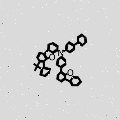 CC1(C)c2ccccc2-c2c1ccc1c2oc2c(N(c3ccc(-c4ccccc4)cc3)c3ccc(-c4cccc5c4oc4ccccc45)cc3)cccc21